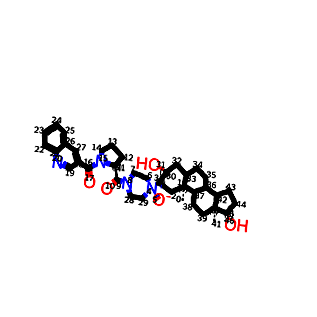 C[C@]12C[C@H]([N+]3([O-])CCN(C(=O)[C@@H]4CCCN4C(=O)c4cnc5ccccc5c4)CC3)[C@@H](O)CC1CCC1C2CC[C@@]2(C)C1CC[C@@H]2O